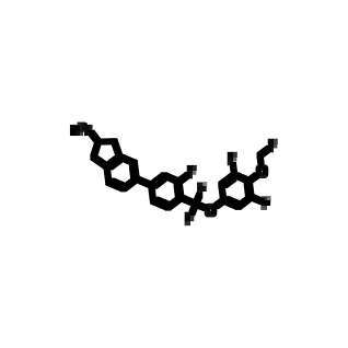 CCCC1Cc2ccc(-c3ccc(C(F)(F)Oc4cc(F)c(OCF)c(F)c4)c(F)c3)cc2C1